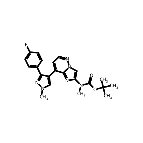 CN(C(=O)OC(C)(C)C)c1cn2nccc(-c3cn(C)nc3-c3ccc(F)cc3)c2n1